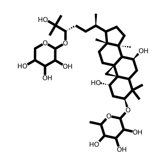 CC1OC(O[C@H]2C[C@H](O)[C@]34C[C@]35CC[C@]3(C)C([C@H](C)CC[C@H](OC6OCC(O)C(O)C6O)C(C)(C)O)CC[C@@]3(C)C5[C@@H](O)CC4C2(C)C)C(O)C(O)C1O